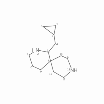 C1CN[C](CC2CC2)C2(C1)CCNCC2